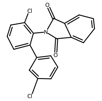 O=C1c2ccccc2C(=O)N1c1c(Cl)cccc1-c1cccc(Cl)c1